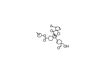 CN1CCC(OC(=O)C2CCc3c(C4=CCC(C=O)(CO)CC4)nn(C(=O)c4c(Cl)cccc4C4CC4)c3C2)C1